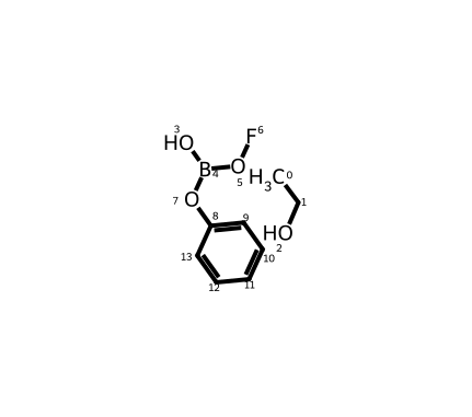 CCO.OB(OF)Oc1ccccc1